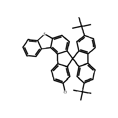 CC(C)(C)c1ccc2c(c1)C1(c3cc(C(C)(C)C)ccc3-2)c2cc(Cl)ccc2-c2c1ccc1sc3ccccc3c21